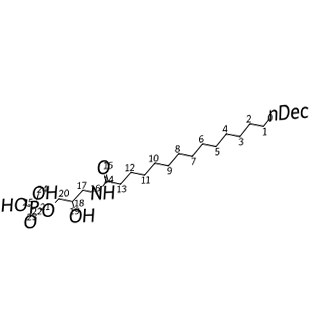 CCCCCCCCCCCCCCCCCCCCCCCC(=O)NCC(O)COP(=O)(O)O